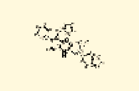 CCCC[C@H](NC(=O)N[C@@H](CC(=O)O)c1ccc2c(c1)OCO2)C(=O)N(Cc1ccccc1)Cc1cccs1